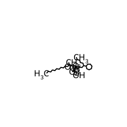 CCCCCCCCCCOC(C)COP(=O)(SCCC(CCCCC)C1CCCCCC1)C(=O)OO